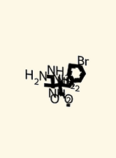 COC(=O)C(N)(Cc1ccc(Br)cc1)C(C)(N)C(N)(N)N